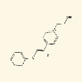 OCC[n+]1ccc(C=CNc2ccccc2)cc1.[I-]